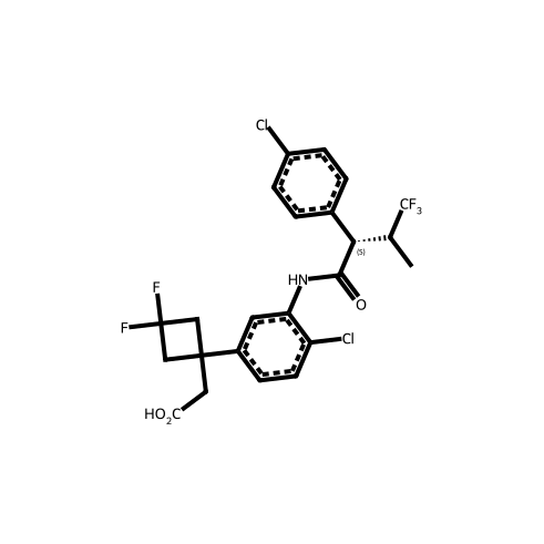 CC([C@H](C(=O)Nc1cc(C2(CC(=O)O)CC(F)(F)C2)ccc1Cl)c1ccc(Cl)cc1)C(F)(F)F